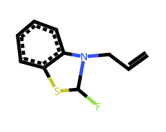 C=CCN1c2ccccc2SC1F